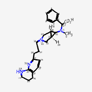 CN(C(C(=O)O)c1ccccc1)C1[C@H]2CN(CCCc3ccc4c(n3)NCCC4)C[C@@H]12